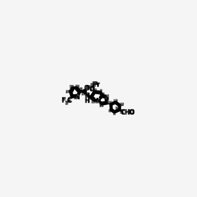 CC(C)Oc1cc2nc([C@H]3CC[C@H](C=O)CC3)cn2cc1NC(=O)c1cccc(C(F)(F)F)n1